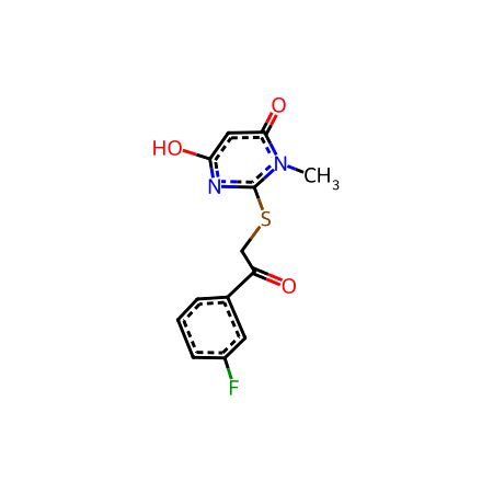 Cn1c(SCC(=O)c2cccc(F)c2)nc(O)cc1=O